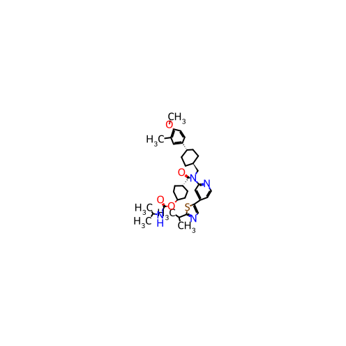 COc1ccc([C@H]2CC[C@H](CN(c3cc(-c4cnc(C(C)C)s4)ccn3)C(=O)[C@H]3CC[C@H](OC(=O)NC(C)C)CC3)CC2)cc1C